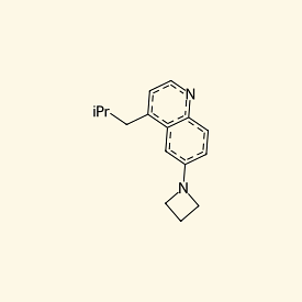 CC(C)Cc1ccnc2ccc(N3CCC3)cc12